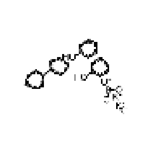 Oc1ccccc1.Oc1ccccc1.[K+].[K+].[K+].[O-]B([O-])[O-].c1ccc(-c2ccccc2)cc1